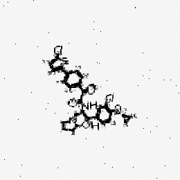 O=C(NC(CN1CCCC1)C(O)c1ccc(OC2CC2)c(Cl)c1)C(=O)c1ccc(-c2ccc(Cl)s2)cc1